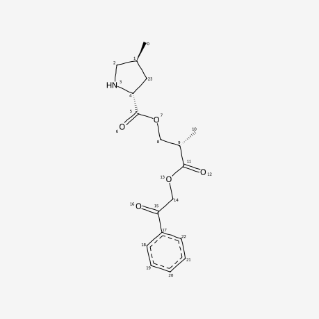 C[C@@H]1CN[C@@H](C(=O)OC[C@H](C)C(=O)OCC(=O)c2ccccc2)C1